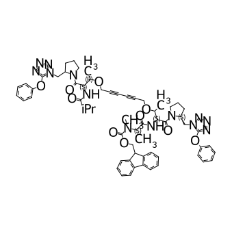 CC(C)C(=O)N[C@H](C(=O)N1CCCC1Cn1nnnc1Oc1ccccc1)[C@@H](C)OCC#CC#CCOC(C)[C@H](NC(=O)[C@H](C)N(C)C(=O)OCC1c2ccccc2-c2ccccc21)C(=O)N1CCC[C@H]1Cn1nnnc1Oc1ccccc1